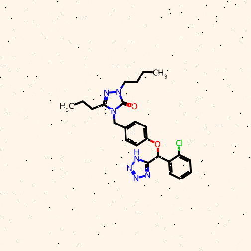 CCCCn1nc(CCC)n(Cc2ccc(OC(c3nnn[nH]3)c3ccccc3Cl)cc2)c1=O